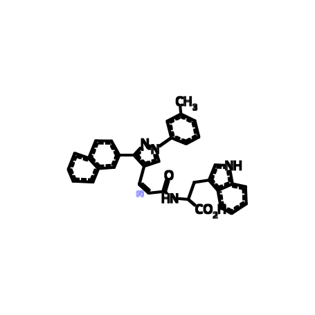 Cc1cccc(-n2cc(/C=C\C(=O)NC(Cc3c[nH]c4ccccc34)C(=O)O)c(-c3ccc4ccccc4c3)n2)c1